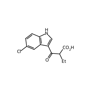 CCC(C(=O)O)C(=O)c1c[nH]c2ccc(Cl)cc12